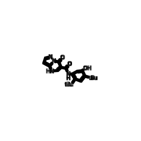 CC(C)(C)c1cc(C(C)(C)C)c(NC(=O)c2c[nH]c3ccnn3c2=O)cc1O